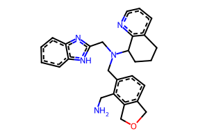 NCc1c(CN(Cc2nc3ccccc3[nH]2)C2CCCc3cccnc32)ccc2c1COC2